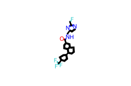 O=C(NCc1ccnc(CF)n1)c1ccc2c(-c3ccc(C(F)(F)F)cc3)cccc2c1